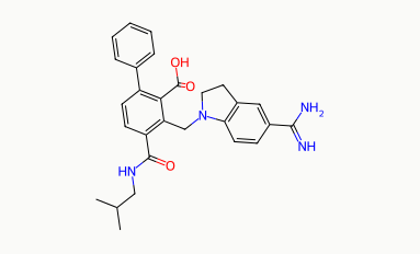 CC(C)CNC(=O)c1ccc(-c2ccccc2)c(C(=O)O)c1CN1CCc2cc(C(=N)N)ccc21